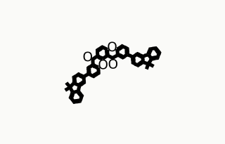 CC1(C)c2ccccc2-c2cc(-c3ccc4oc5c(ccc6oc7ccc(-c8ccc9c(c8)-c8ccccc8C9(C)C)cc7c(=O)c65)c(=O)c4c3)ccc21